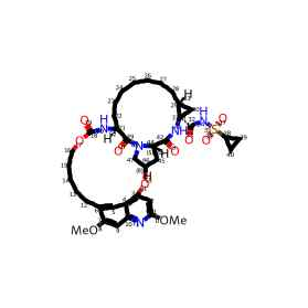 COc1cc2c3cc(c(OC)cc3n1)CCCCCOC(=O)N[C@H]1CCCCCCC[C@@H]3C[C@@]3(C(=O)NS(=O)(=O)C3CC3)NC(=O)[C@@H]3C[C@H](CN3C1=O)O2